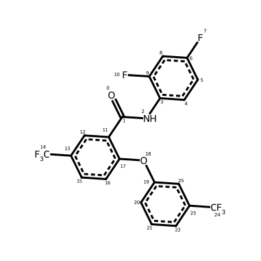 O=C(Nc1ccc(F)cc1F)c1cc(C(F)(F)F)ccc1Oc1cccc(C(F)(F)F)c1